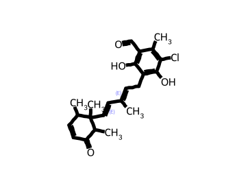 CC(/C=C/C1(C)C(C)C=CC(=O)C1C)=C\Cc1c(O)c(Cl)c(C)c(C=O)c1O